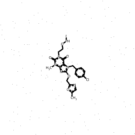 Cc1cnc(COc2nc3c(c(=O)n(CCOPI)c(=O)n3C)n2Cc2ccc(Cl)cc2)o1